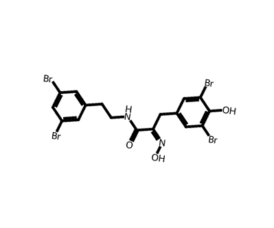 O=C(NCCc1cc(Br)cc(Br)c1)/C(Cc1cc(Br)c(O)c(Br)c1)=N\O